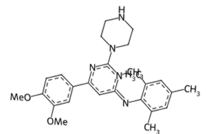 COc1ccc(-c2c/c(=N/c3c(C)cc(C)cc3C)n(C)c(N3CCNCC3)n2)cc1OC